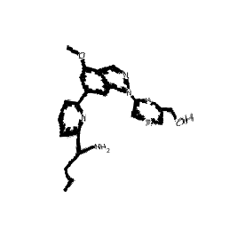 CCCC(N)c1cccc(-c2cc(OC)c3cnn(-c4cncc(CO)n4)c3c2)n1